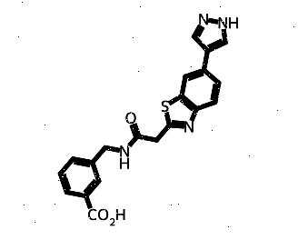 O=C(Cc1nc2ccc(-c3cn[nH]c3)cc2s1)NCc1cccc(C(=O)O)c1